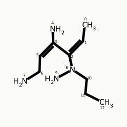 C/C=C(\C(N)=C/CN)N(N)CCC